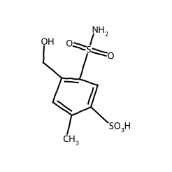 Cc1cc(CO)c(S(N)(=O)=O)cc1S(=O)(=O)O